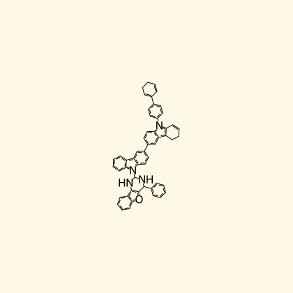 C1=CC(c2ccc(-n3c4c(c5cc(-c6ccc7c(c6)c6ccccc6n7C6Nc7c(oc8ccccc78)C(c7ccccc7)N6)ccc53)CCC=C4)cc2)=CCC1